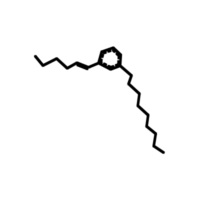 CCCCC=Cc1cccc(CCCCCCCCC)c1